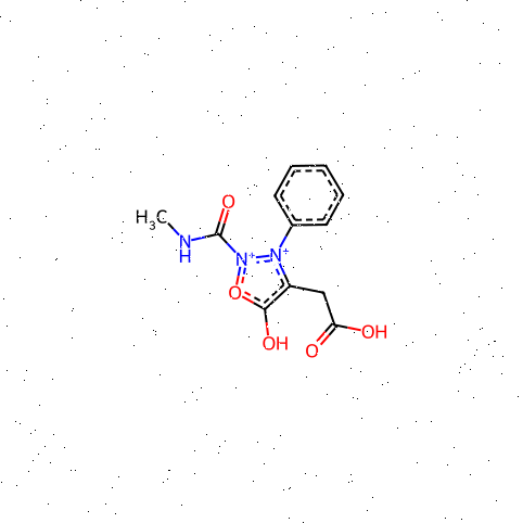 CNC(=O)[n+]1oc(O)c(CC(=O)O)[n+]1-c1ccccc1